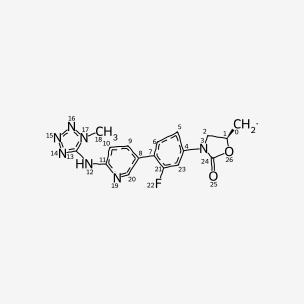 [CH2][C@@H]1CN(c2ccc(-c3ccc(Nc4nnnn4C)nc3)c(F)c2)C(=O)O1